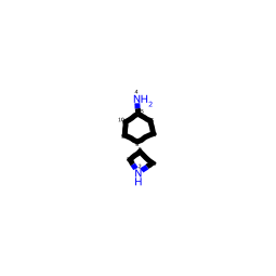 C1CNC1.NC1CCCCC1